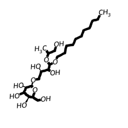 CCCCCCCCCCCOC(OC(C)CO)C(O)[C@@H](O)CO[C@H]1OC(CO)[C@@H](O)C(O)[C@@H]1O